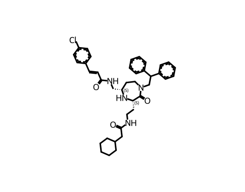 O=C(C=Cc1ccc(Cl)cc1)NC[C@@H]1CCN(CC(c2ccccc2)c2ccccc2)C(=O)[C@H](CCNC(=O)CC2CCCCC2)N1